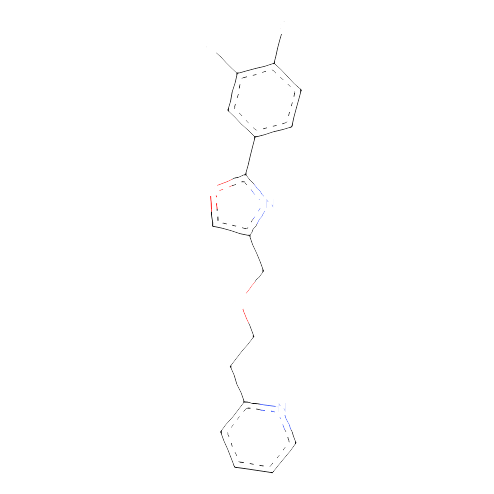 Cc1ccc(-c2nc(COCCc3ccccn3)co2)cc1C